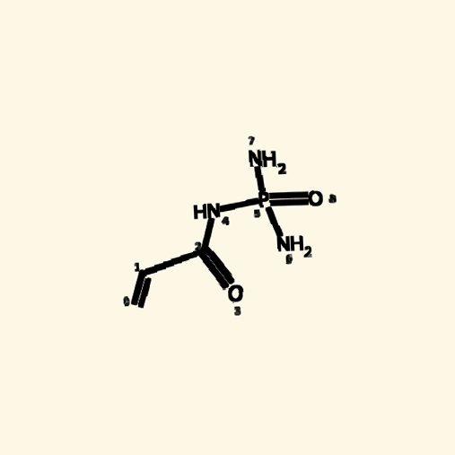 C=CC(=O)NP(N)(N)=O